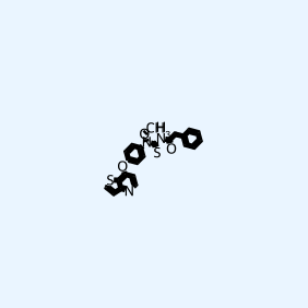 CON(C(=S)NC(=O)Cc1ccccc1)c1ccc(Oc2ccnc3ccsc23)cc1